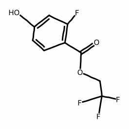 O=C(OCC(F)(F)F)c1ccc(O)cc1F